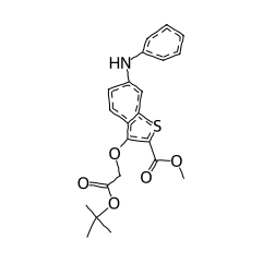 COC(=O)c1sc2cc(Nc3ccccc3)ccc2c1OCC(=O)OC(C)(C)C